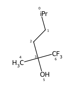 CC(C)CCC(C)(O)C(F)(F)F